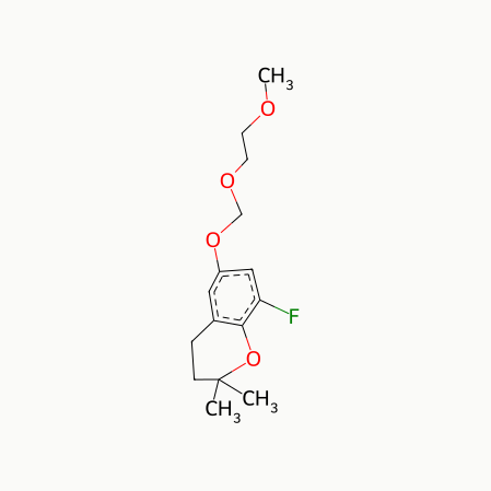 COCCOCOc1cc(F)c2c(c1)CCC(C)(C)O2